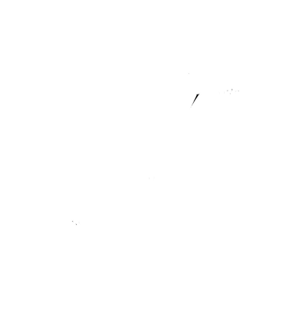 COC(=O)[C@H]1CC[C@H](Oc2cccc(C#N)c2)CC1